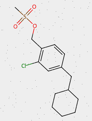 CS(=O)(=O)OCc1ccc(CC2CCCCC2)cc1Cl